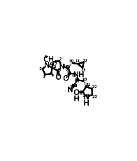 CN1CCCC12CCN([C@H](CC1CC1)C(=O)N[C@H](C#N)C[C@@H]1CCNC1O)C2=O